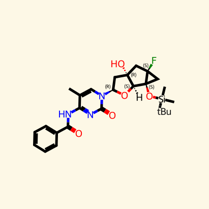 Cc1cn([C@H]2C[C@@]3(O)C[C@]4(F)C[C@]4(O[Si](C)(C)C(C)(C)C)[C@H]3O2)c(=O)nc1NC(=O)c1ccccc1